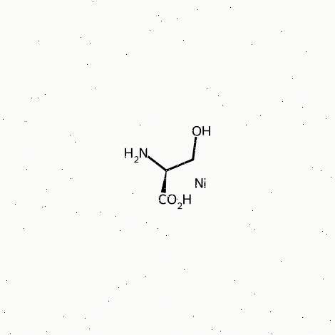 N[C@@H](CO)C(=O)O.[Ni]